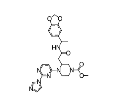 COC(=O)N1CCN(c2ccnc(-n3ccnc3)n2)C(CC(=O)NC(C)c2ccc3c(c2)OCO3)C1